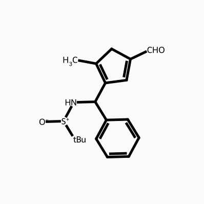 CC1=C(C(N[S+]([O-])C(C)(C)C)c2ccccc2)C=C(C=O)C1